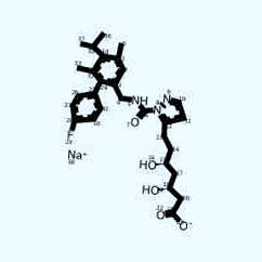 Cc1cc(CNC(=O)n2nccc2CC[C@@H](O)C[C@@H](O)CC(=O)[O-])c(-c2ccc(F)cc2)c(C)c1C(C)C.[Na+]